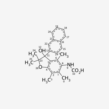 Cc1c(C)c2c(c(C)c1NC(=O)O)C(O)(c1ccc3ccccc3c1)C(C)(C)O2